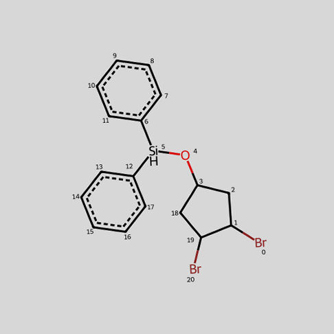 BrC1CC(O[SiH](c2ccccc2)c2ccccc2)CC1Br